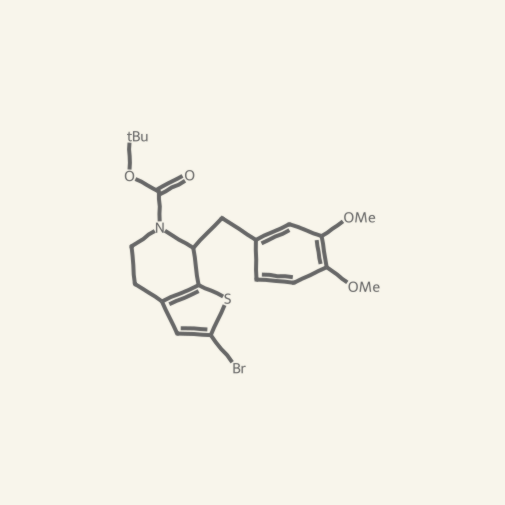 COc1ccc(CC2c3sc(Br)cc3CCN2C(=O)OC(C)(C)C)cc1OC